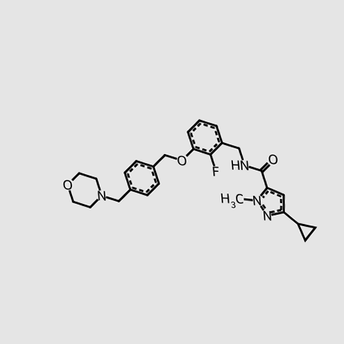 Cn1nc(C2CC2)cc1C(=O)NCc1cccc(OCc2ccc(CN3CCOCC3)cc2)c1F